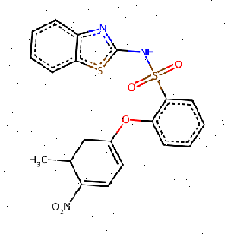 CC1CC(Oc2ccccc2S(=O)(=O)Nc2nc3ccccc3s2)=CC=C1[N+](=O)[O-]